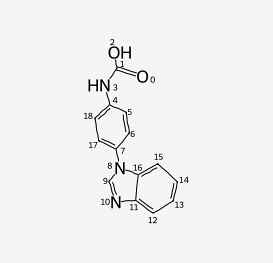 O=C(O)Nc1ccc(-n2cnc3ccccc32)cc1